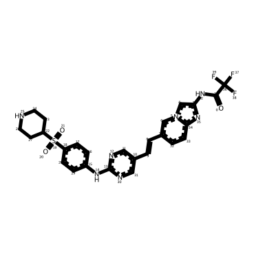 O=C(Nc1cn2cc(/C=C/c3cnc(Nc4ccc(S(=O)(=O)C5CCNCC5)cc4)nc3)ccc2n1)C(F)(F)F